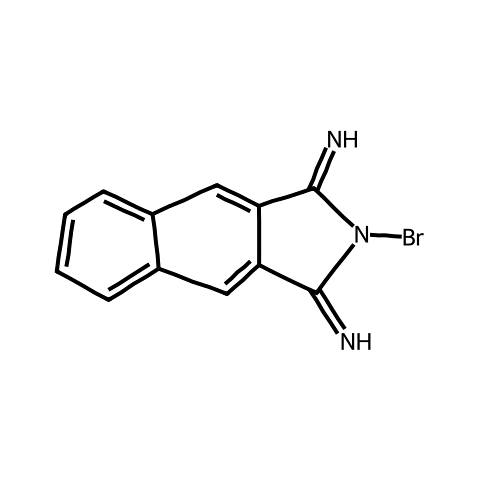 N=C1c2cc3ccccc3cc2C(=N)N1Br